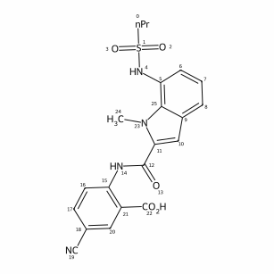 CCCS(=O)(=O)Nc1cccc2cc(C(=O)Nc3ccc(C#N)cc3C(=O)O)n(C)c12